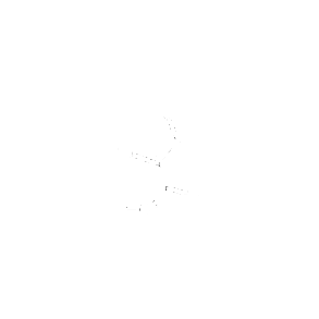 O=NC(=O)C(=O)O